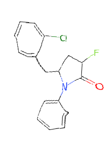 O=C1C(F)CC(Cc2ccccc2Cl)N1c1ccccc1